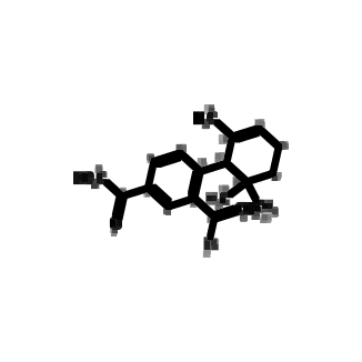 C=C(CC)c1cc(C(=O)C(=O)O)ccc1C1C(C)=CCCC1(C)C